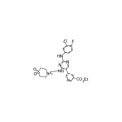 CCOC(=O)c1cncc(-c2cnc(Nc3ccc(F)c(Cl)c3)nc2NCCN2CCS(=O)(=O)CC2)c1